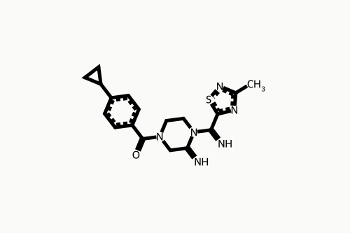 Cc1nsc(C(=N)N2CCN(C(=O)c3ccc(C4CC4)cc3)CC2=N)n1